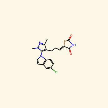 Cc1nn(C)c(-n2ccc3cc(Cl)ccc32)c1CCC=C1SC(=O)NC1=O